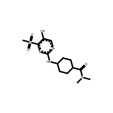 CN(C)C(=O)C1CCC(Nc2ncc(C#N)c(S(C)(=O)=O)n2)CC1